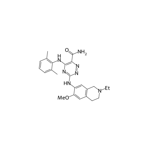 CCN1CCc2cc(OC)c(Nc3nnc(C(N)=O)c(Nc4c(C)cccc4C)n3)cc2C1